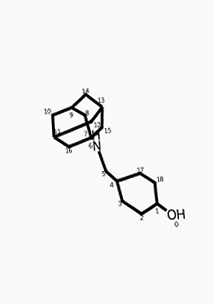 OC1CCC(CNC23CC4CC(CC(C4)C2)C3)CC1